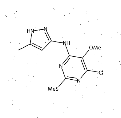 COc1c(Cl)nc(SC)nc1Nc1cc(C)[nH]n1